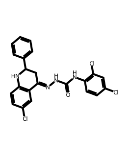 O=C(NN=C1CC(c2ccccc2)Nc2ccc(Cl)cc21)Nc1ccc(Cl)cc1Cl